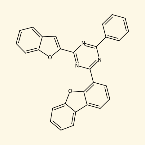 c1ccc(-c2nc(-c3cc4ccccc4o3)nc(-c3cccc4c3oc3ccccc34)n2)cc1